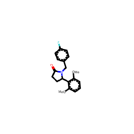 COc1cccc(OC)c1C1CCC(=O)N1Cc1ccc(F)cc1